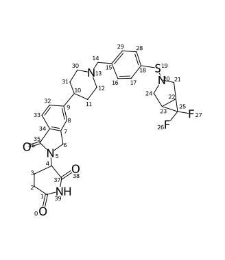 O=C1CCC(N2Cc3cc(C4CCN(Cc5ccc(SN6CC7C(C6)C7(F)F)cc5)CC4)ccc3C2=O)C(=O)N1